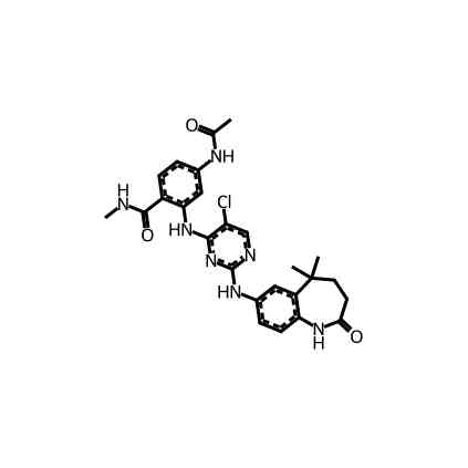 CNC(=O)c1ccc(NC(C)=O)cc1Nc1nc(Nc2ccc3c(c2)C(C)(C)CCC(=O)N3)ncc1Cl